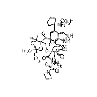 CCOP(=O)(OCC)[C@@](COC)(OC[C@@]12OC(C)(C)O[C@@H]1CO[C@H]2[C@]1(Cl)C=C(C2(NC(=O)O)CCCC2)C2=CNNC2=N1)C(=O)NS(=O)(=O)N1CCC1